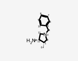 C[C@H]1CN(Cc2ccccc2)C[C@H]1N